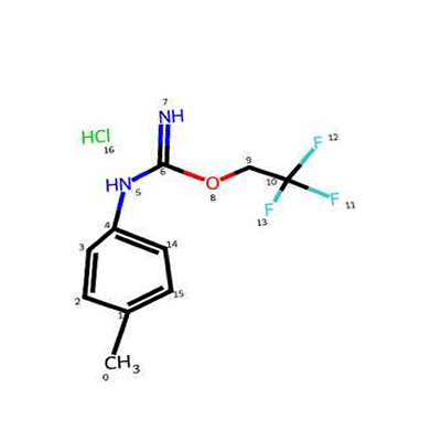 Cc1ccc(NC(=N)OCC(F)(F)F)cc1.Cl